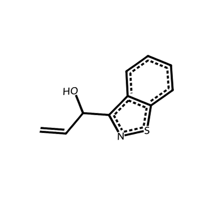 C=CC(O)c1nsc2ccccc12